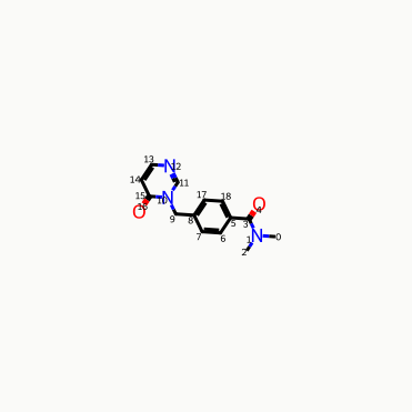 CN(C)C(=O)c1ccc(Cn2cnccc2=O)cc1